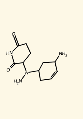 NC1C=CCC(N(N)C2CCC(=O)NC2=O)C1